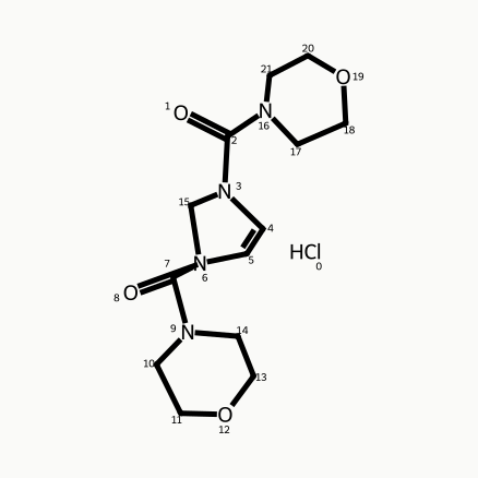 Cl.O=C(N1C=CN(C(=O)N2CCOCC2)C1)N1CCOCC1